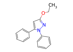 CCOc1cc(-c2ccccc2)n(-c2ccccc2)n1